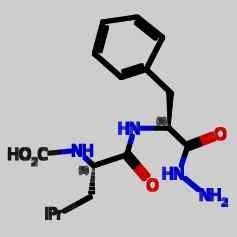 CC(C)C[C@H](NC(=O)O)C(=O)N[C@@H](Cc1ccccc1)C(=O)NN